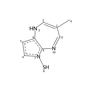 CC1=CNc2ccn(S)c2N=C1